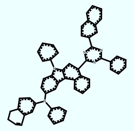 C1=Cc2cc(N(c3ccccc3)c3ccc4c(c3)c3c5ccccc5c(-c5nc(-c6ccccc6)nc(-c6ccc7ccccc7c6)n5)cc3n4-c3ccccc3)ccc2CC1